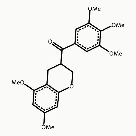 COc1cc(OC)c2c(c1)OCC(C(=O)c1cc(OC)c(OC)c(OC)c1)C2